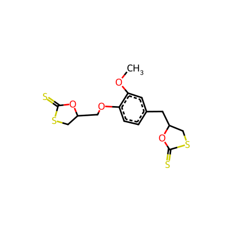 COc1cc(CC2CSC(=S)O2)ccc1OCC1CSC(=S)O1